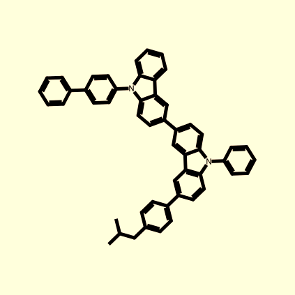 CC(C)Cc1ccc(-c2ccc3c(c2)c2cc(-c4ccc5c(c4)c4ccccc4n5-c4ccc(-c5ccccc5)cc4)ccc2n3-c2ccccc2)cc1